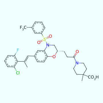 C/C(=C\c1ccc2c(c1)N(S(=O)(=O)c1cccc(C(F)(F)F)c1)C[C@H](CCC(=O)N1CCC(C)(C(=O)O)CC1)O2)c1c(F)cccc1Cl